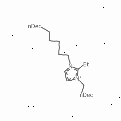 CCCCCCCCCCCCCCCn1cc[n+](CCCCCCCCCCC)c1CC